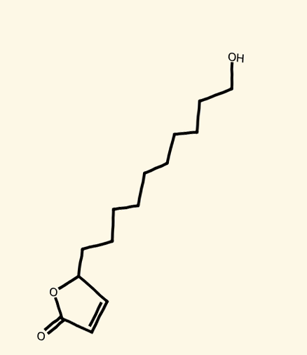 O=C1C=CC(CCCCCCCCCCO)O1